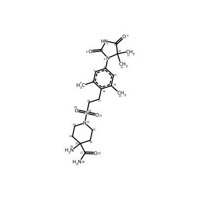 Cc1cc(N2C(=O)NC(=O)C2(C)C)cc(C)c1CCS(=O)(=O)N1CCC(N)(C(N)=O)CC1